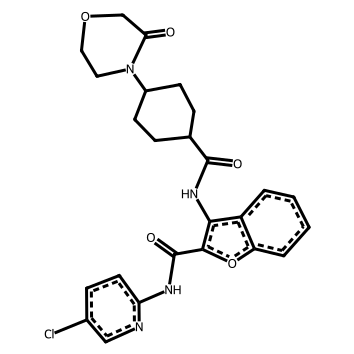 O=C(Nc1ccc(Cl)cn1)c1oc2ccccc2c1NC(=O)C1CCC(N2CCOCC2=O)CC1